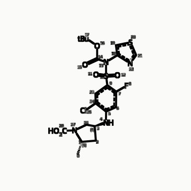 C[C@H]1C[C@H](Nc2cc(F)c(S(=O)(=O)N(C(=O)OC(C)(C)C)c3cscn3)cc2Cl)CN1C(=O)O